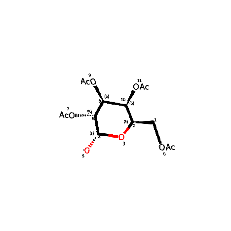 CC(=O)OC[C@H]1O[C@H]([O])[C@H](OC(C)=O)[C@@H](OC(C)=O)[C@H]1OC(C)=O